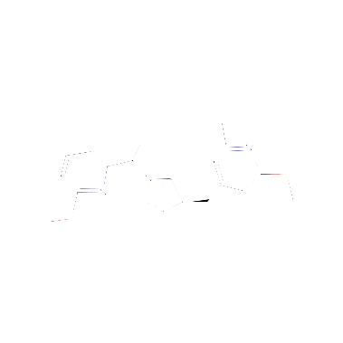 COc1cc(C[C@H]2CCN(C(C)c3cccc(OC)n3)C2)cc(C)n1